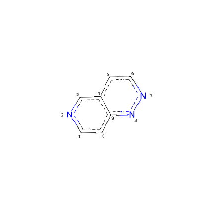 [c]1cncc2ccnnc12